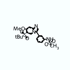 COc1cc2ncc(-c3cccc(NS(C)(=O)=O)c3)n2cc1S(=O)(=O)C(C)(C)C